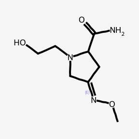 CO/N=C1\CC(C(N)=O)N(CCO)C1